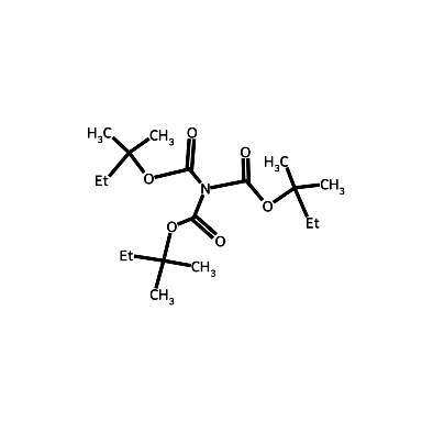 CCC(C)(C)OC(=O)N(C(=O)OC(C)(C)CC)C(=O)OC(C)(C)CC